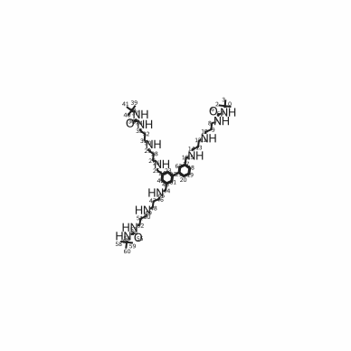 CC(C)(C)NC(=O)NCCCNCCCNCc1cccc(-c2cc(CNCCCNCCCNC(=O)NC(C)(C)C)cc(CNCCCNCCCNC(=O)NC(C)(C)C)c2)c1